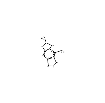 C[C@@H]1Cc2cc3c(c(N)c2C1)CCC3